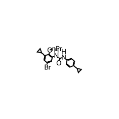 CCCOc1c(NC(=O)Nc2ccc(C3CC3)cc2)cc(Br)cc1C1CC1